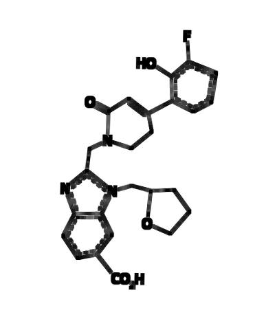 O=C(O)c1ccc2nc(CN3CCC(c4cccc(F)c4O)=CC3=O)n(CC3CCCO3)c2c1